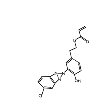 C=CC(=O)OCCc1ccc(O)c(-n2n3c4ccc(Cl)cc4n23)c1